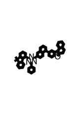 CC1(C)c2ccccc2-c2c(-c3nc(-c4ccccc4)nc(-c4ccc5c(-c6ccc7oc8ccc9ccccc9c8c7c6)cccc5c4)n3)cccc21